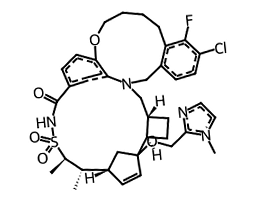 C[C@@H]1[C@@H](C)S(=O)(=O)NC(=O)c2ccc3c(c2)N(Cc2ccc(Cl)c(F)c2CCCCO3)C[C@@H]2CC[C@H]2C2(OCc3nccn3C)C=C[C@H]1C2